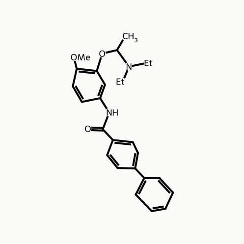 CCN(CC)C(C)Oc1cc(NC(=O)c2ccc(-c3ccccc3)cc2)ccc1OC